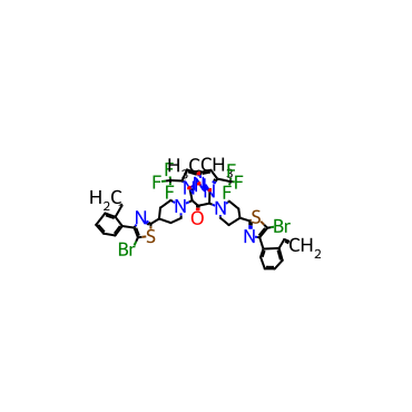 C=Cc1ccccc1-c1nc(C2CCN(C(Cn3nc(C(F)(F)F)cc3C)C(=O)C(Cn3nc(C(F)(F)F)cc3C)N3CCC(c4nc(-c5ccccc5C=C)c(Br)s4)CC3)CC2)sc1Br